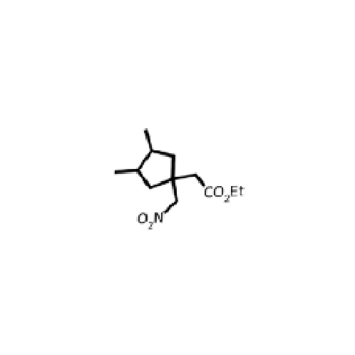 CCOC(=O)CC1(C[N+](=O)[O-])CC(C)C(C)C1